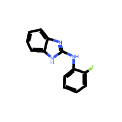 Fc1ccccc1Nc1nc2ccccc2[nH]1